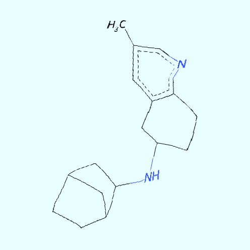 Cc1cnc2c(c1)CC(NC1CC3CCC1C3)CC2